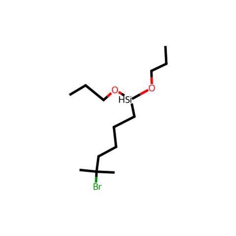 CCCO[SiH](CCCCC(C)(C)Br)OCCC